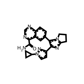 NC(=O)c1ncnc2ccc(-c3c(-c4ccn(C5CC5)n4)nc4n3CCC4)cc12